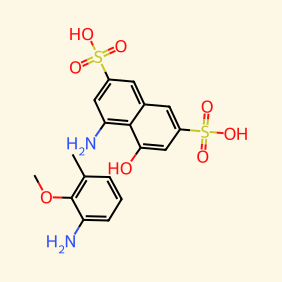 COc1c(C)cccc1N.Nc1cc(S(=O)(=O)O)cc2cc(S(=O)(=O)O)cc(O)c12